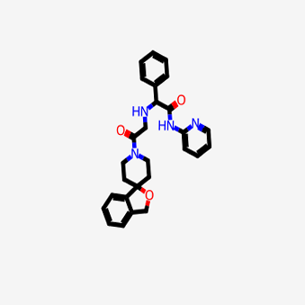 O=C(Nc1ccccn1)C(NCC(=O)N1CCC2(CC1)OCc1ccccc12)c1ccccc1